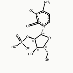 Nc1ccn([C@@H]2O[C@H](CO)[C@@H](O)[C@H]2OP(=O)(O)O)c(=O)[n+]1[O-]